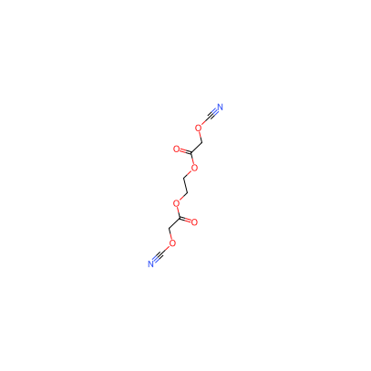 N#COCC(=O)OCCOC(=O)COC#N